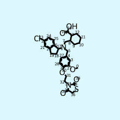 COc1cc(CN(CC2CCCCC2C(=O)O)C2CCc3cc(Cl)ccc32)ccc1OCCN1C(=O)CSC1=O